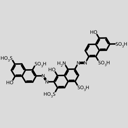 Nc1c(N=Nc2ccc3c(O)cc(S(=O)(=O)O)cc3c2S(=O)(=O)O)cc(S(=O)(=O)O)c2cc(S(=O)(=O)O)c(N=Nc3ccc4c(O)cc(S(=O)(=O)O)cc4c3S(=O)(=O)O)c(O)c12